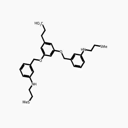 CSCCNc1cccc(COc2cc(CCC(=O)O)cc(OCc3cccc(NCCSC)c3)c2)c1